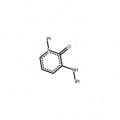 CC(C)Nc1cccn(C(C)C)c1=O